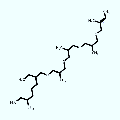 C/C=C(\C)COCC(C)COCC(C)COCC(C)COCC(CC)CCCC(C)CC